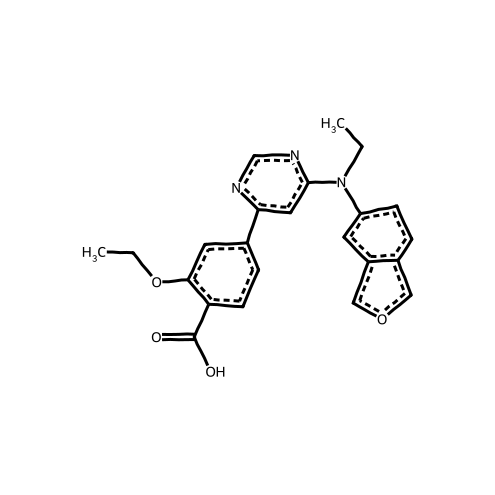 CCOc1cc(-c2cc(N(CC)c3ccc4cocc4c3)ncn2)ccc1C(=O)O